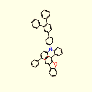 c1ccc(-c2ccc(N(c3ccc(-c4ccc(-c5ccccc5)c(-c5ccccc5)c4)cc3)c3ccccc3-c3cccc4c3oc3ccccc34)cc2)cc1